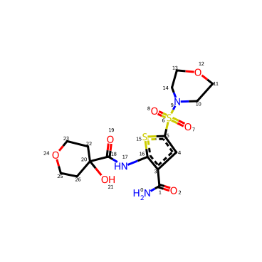 NC(=O)c1cc(S(=O)(=O)N2CCOCC2)sc1NC(=O)C1(O)CCOCC1